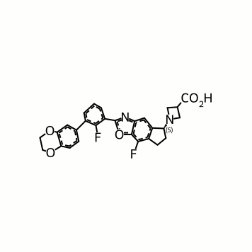 O=C(O)C1CN([C@H]2CCc3c2cc2nc(-c4cccc(-c5ccc6c(c5)OCCO6)c4F)oc2c3F)C1